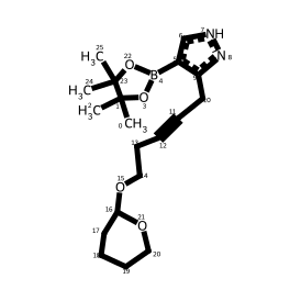 CC1(C)OB(c2c[nH]nc2CC#CCCOC2CCCCO2)OC1(C)C